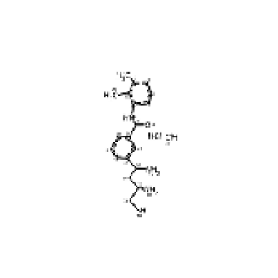 Cc1cccc(NC(=O)c2cccc(C(N)C[C@@H](N)CS)c2)c1C.Cl.Cl